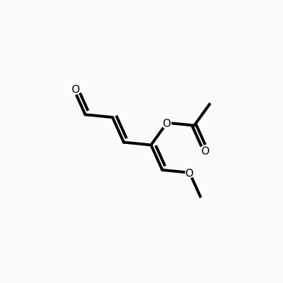 CO/C=C(/C=C/C=O)OC(C)=O